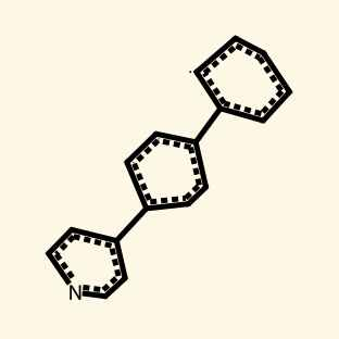 [c]1ccccc1-c1ccc(-c2ccncc2)cc1